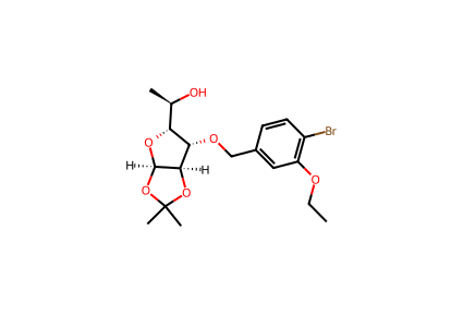 CCOc1cc(CO[C@@H]2[C@H]3OC(C)(C)O[C@H]3O[C@@H]2[C@@H](C)O)ccc1Br